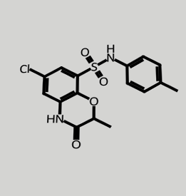 Cc1ccc(NS(=O)(=O)c2cc(Cl)cc3c2OC(C)C(=O)N3)cc1